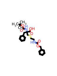 CC(C)(C)OC(=O)NC(CSCCNC(=O)OCc1ccccc1)(Cc1ccccc1)C(=O)O